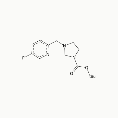 CC(C)(C)OC(=O)N1CCN(Cc2ccc(F)cn2)C1